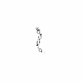 O=C(OCc1ccc(C(F)(F)F)cc1)N1CCN(C2CCN(C(=O)c3ccc4[nH]nnc4c3)CC2)CC1